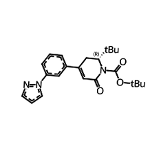 CC(C)(C)OC(=O)N1C(=O)C=C(c2cccc(-n3cccn3)c2)C[C@@H]1C(C)(C)C